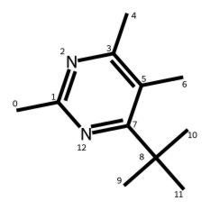 Cc1nc(C)c(C)c(C(C)(C)C)n1